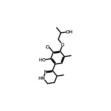 Cc1cc(C2=NNCCC2C)c(O)c(Cl)c1OCC(C)O